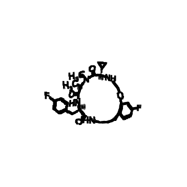 C[C@@H]1C(=O)N[C@H](Cc2ccc(F)cc2)C(=O)NCCCc2ccc(F)cc2OCCN[C@@H](C2CC2)C(=O)N1C